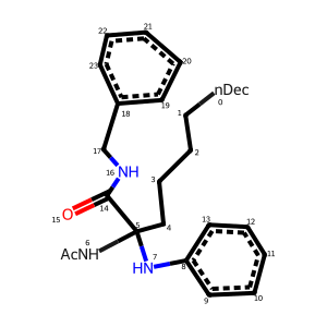 CCCCCCCCCCCCCCC(NC(C)=O)(Nc1ccccc1)C(=O)NCc1ccccc1